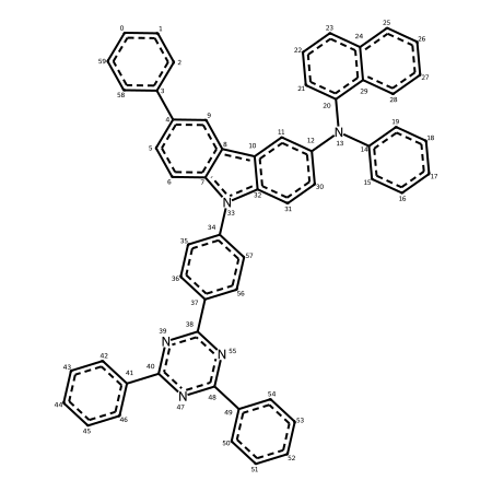 c1ccc(-c2ccc3c(c2)c2cc(N(c4ccccc4)c4cccc5ccccc45)ccc2n3-c2ccc(-c3nc(-c4ccccc4)nc(-c4ccccc4)n3)cc2)cc1